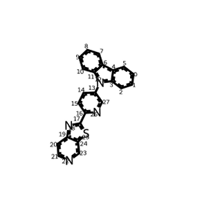 c1ccc2c(c1)c1ccccc1n2-c1ccc(-c2nc3ccncc3s2)nc1